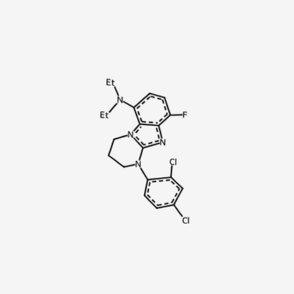 CCN(CC)c1ccc(F)c2nc3n(c12)CCCN3c1ccc(Cl)cc1Cl